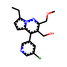 CCc1ccc2c(-c3cncc(Br)c3)c(CO)c(COC)nn12